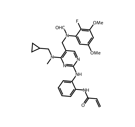 C=CC(=O)Nc1ccccc1Nc1ncc(CN(C=O)c2cc(OC)cc(OC)c2F)c(N(C)CC2CC2)n1